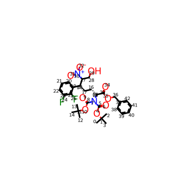 CC(C)(C)OC(=O)N(C(=O)OC(C)(C)C)[C@H](CC[C@@H](c1cccc(F)c1F)C(CO)[N+](=O)[O-])C(=O)OCc1ccccc1